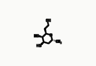 C[C@@H]1C[C@@H](O)[C@@H](O)[C@@H](CCO)O1